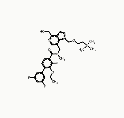 CCOc1c(-c2cc(F)cc(F)c2)ccc(C(=O)N(C)Cc2cnc(CO)c3cnn(COCC[Si](C)(C)C)c23)c1F